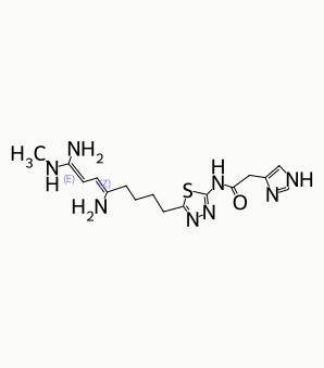 CN/C(N)=C/C=C(\N)CCCCc1nnc(NC(=O)Cc2c[nH]cn2)s1